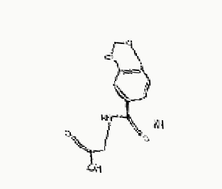 O=C(O)CNC(=O)c1ccc2c(c1)OCO2.[KH]